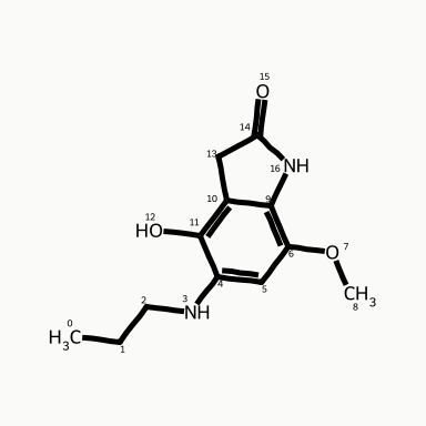 CCCNc1cc(OC)c2c(c1O)CC(=O)N2